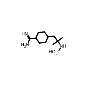 CC(C)(CC1CCC(C(=N)N)CC1)NC(=O)O